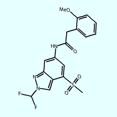 COc1ccccc1CC(=O)Nc1cc(S(C)(=O)=O)c2cn(C(F)F)nc2c1